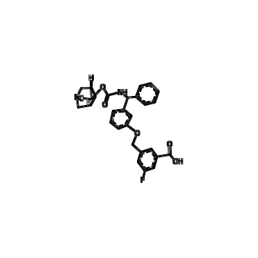 O=C(NC(c1ccccc1)c1cccc(OCc2cc(F)cc(C(=O)O)c2)c1)O[C@H]1CN2CCC1CC2